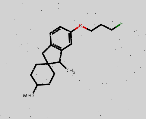 COC1CCC2(CC1)Cc1ccc(OCCCF)cc1C2C